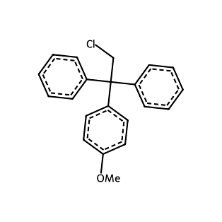 COc1ccc(C(CCl)(c2ccccc2)c2ccccc2)cc1